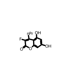 CCCc1c(F)c(=O)oc2cc(O)cc(O)c12